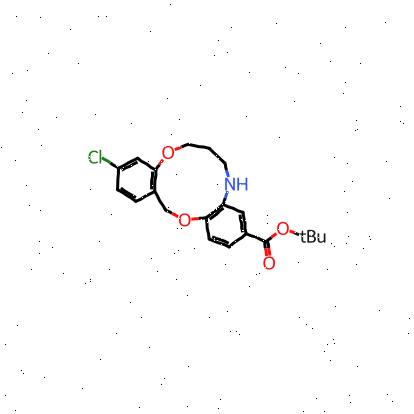 CC(C)(C)OC(=O)c1ccc2c(c1)NCCCOc1cc(Cl)ccc1CO2